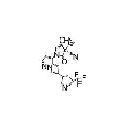 C[C@@H]1CN(c2ccnn3cc(-c4cncc(C(F)(F)F)c4)cc23)C(=O)[C@]1(C#N)C1CC1